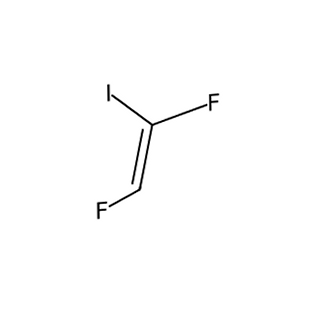 FC=C(F)I